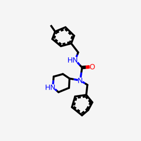 Cc1ccc(CNC(=O)N(Cc2ccccc2)C2CCNCC2)cc1